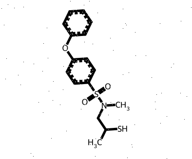 CC(S)CN(C)S(=O)(=O)c1ccc(Oc2ccccc2)cc1